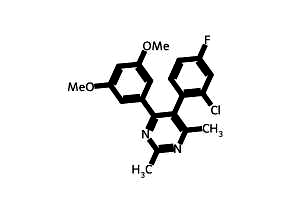 COc1cc(OC)cc(-c2nc(C)nc(C)c2-c2ccc(F)cc2Cl)c1